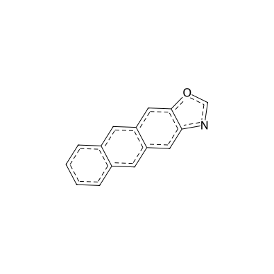 c1ccc2cc3cc4ocnc4cc3cc2c1